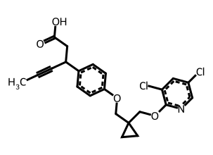 CC#CC(CC(=O)O)c1ccc(OCC2(COc3ncc(Cl)cc3Cl)CC2)cc1